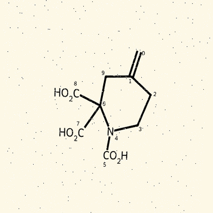 C=C1CCN(C(=O)O)C(C(=O)O)(C(=O)O)C1